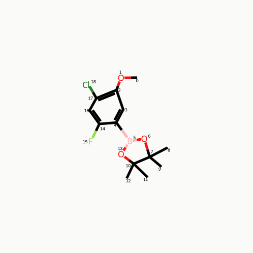 COc1cc(B2OC(C)(C)C(C)(C)O2)c(F)cc1Cl